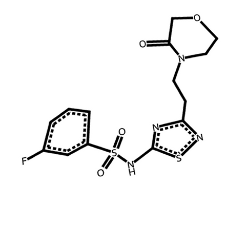 O=C1COCCN1CCc1nsc(NS(=O)(=O)c2cccc(F)c2)n1